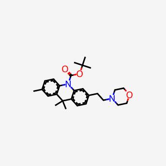 Cc1ccc2c(c1)C(C)(C)c1ccc(CCN3CCOCC3)cc1N2C(=O)OC(C)(C)C